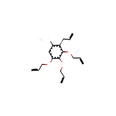 C=CCOc1cc(C(=O)O)c(CC=C)c(OCC=C)c1OCC=C